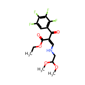 CCOC(=O)C(=CNCC(OC)OC)C(=O)c1cc(F)c(F)c(F)c1F